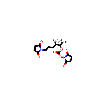 CC(C)C(OC(=O)ON1C(=O)CCC1=O)C(CCCN1C(=O)C=CC1=O)C(=O)O